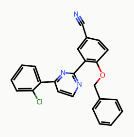 N#Cc1ccc(OCc2ccccc2)c(-c2nccc(-c3ccccc3Cl)n2)c1